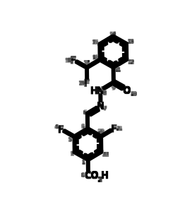 O=C(O)c1cc(F)c(C=NNC(=O)c2ccccc2C(F)F)c(F)c1